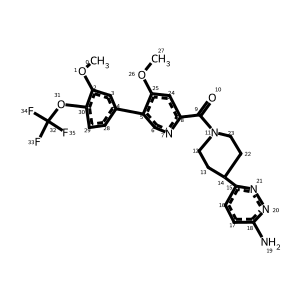 COc1cc(-c2cnc(C(=O)N3CCC(c4ccc(N)nn4)CC3)cc2OC)ccc1OC(F)(F)F